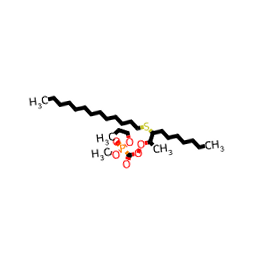 CCCCCCCCCCCCCSC(CCCCCCC)C(C)OOC(=O)P(=O)(OC)OCCC